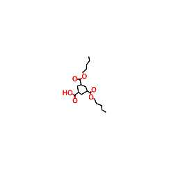 CCCCCOC(=O)C1CC(C(=O)O)CC(C(=O)OCCCCC)C1